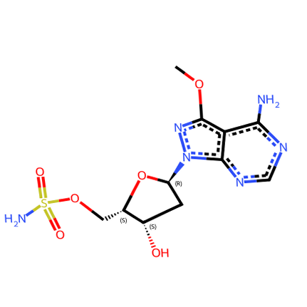 COc1nn([C@H]2C[C@H](O)[C@H](COS(N)(=O)=O)O2)c2ncnc(N)c12